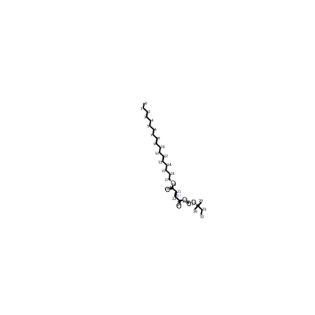 CCCCCCCCCCCCCCCCCCOC(=O)/C=C/C(=O)OOOC(C)(C)CC